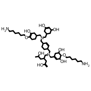 C=C(O)CC(CC(C)O)CN(CC1=CC(O)[C@@H](OCCCCCCN)C(O)C1)CC1C=CC(CN(CC2CCC(OCCCCCCN)=C(O)C2)CC2CC(O)=CC(O)C2)CC1